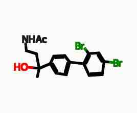 CC(=O)NCCC(C)(O)c1ccc(-c2ccc(Br)cc2Br)cc1